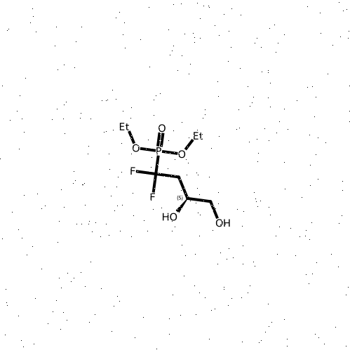 CCOP(=O)(OCC)C(F)(F)C[C@H](O)CO